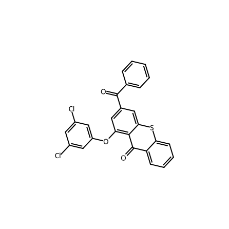 O=C(c1ccccc1)c1cc(Oc2cc(Cl)cc(Cl)c2)c2c(=O)c3ccccc3sc2c1